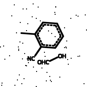 Cc1ccccc1C#N.O=CO